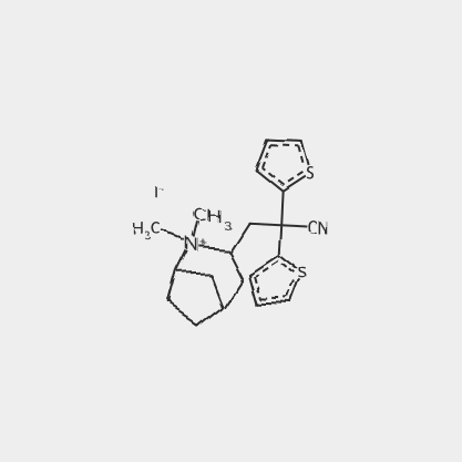 C[N+]1(C)C2CCC(C2)CC1CC(C#N)(c1cccs1)c1cccs1.[I-]